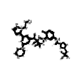 Cc1ccc(NC(=O)N2CC[C@@H](CC(F)(F)F)C2)cc1B1OC(C)(C)C(C)(C(C)c2cc(-c3ccnn3CCO)nc(N3CCOCC3)c2)O1